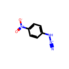 N#[N+]Nc1ccc([N+](=O)[O-])cc1